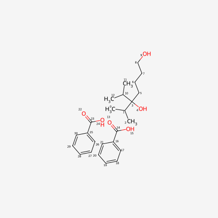 CC(C)C(O)(CCCCO)C(C)C.O=C(O)c1ccccc1.O=C(O)c1ccccc1